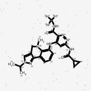 [2H]C([2H])([2H])NC(=O)c1nnc(NC(=O)C2CC2)cc1Nc1cccc2c1N(C)Cc1cn(C(C)C)nc1-2